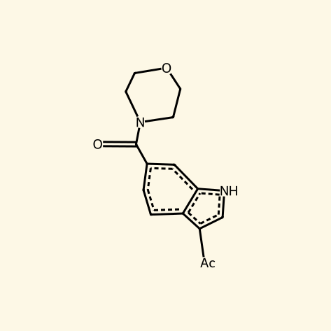 CC(=O)c1c[nH]c2cc(C(=O)N3CCOCC3)ccc12